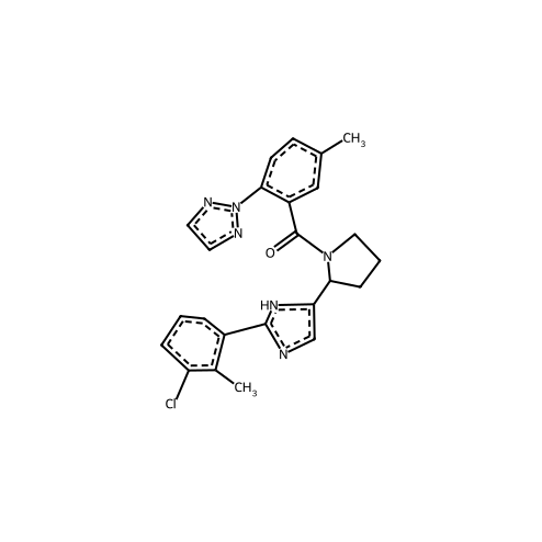 Cc1ccc(-n2nccn2)c(C(=O)N2CCCC2c2cnc(-c3cccc(Cl)c3C)[nH]2)c1